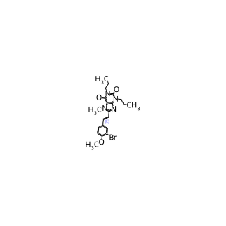 CCCn1c(=O)c2c(nc(/C=C/c3ccc(OC)c(Br)c3)n2C)n(CCC)c1=O